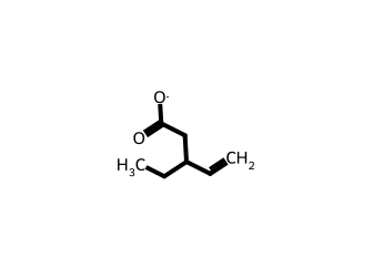 C=CC(CC)CC([O])=O